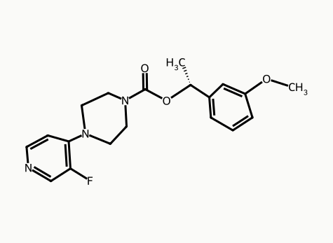 COc1cccc([C@@H](C)OC(=O)N2CCN(c3ccncc3F)CC2)c1